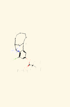 CCCCCCCC(C)(C)C(=O)Oc1cc(F)c2c(c1)C1CCCCCC(C2)C1N